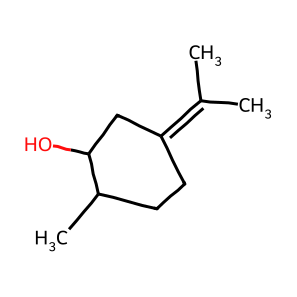 CC(C)=C1CCC(C)C(O)C1